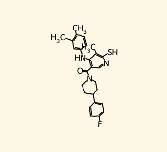 Cc1ccc(Nc2c(C(=O)N3CCC(c4ccc(F)cc4)CC3)cnc(S)c2C)cc1C